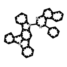 c1ccc(-c2nc(-n3c4ccccc4c4c5c6ccccc6n6c7ccccc7c(cc43)c56)nc3ccc4ccccc4c23)cc1